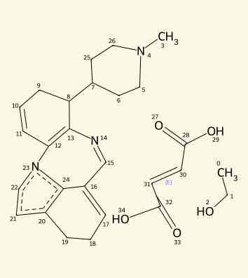 CCO.CN1CCC(C2CC=CC3=C2N=CC2=CCCc4ccn3c42)CC1.O=C(O)/C=C/C(=O)O